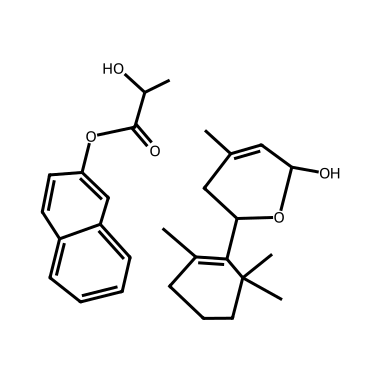 CC(O)C(=O)Oc1ccc2ccccc2c1.CC1=CC(O)OC(C2=C(C)CCCC2(C)C)C1